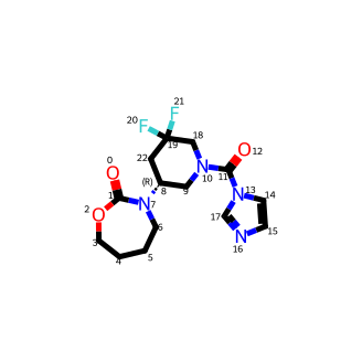 O=C1OCCCCN1[C@H]1CN(C(=O)n2ccnc2)CC(F)(F)C1